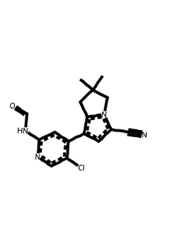 CC1(C)Cc2c(-c3cc(NC=O)ncc3Cl)cc(C#N)n2C1